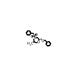 C=C1CO[C@H](COCc2ccccc2)CN(S(=O)(=O)Cc2ccccc2)C1